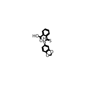 O=C(O)c1ccccc1C(=S)Nc1ccc2c(c1)OCO2